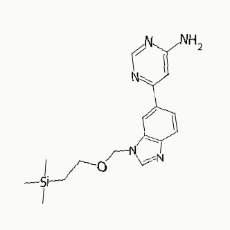 C[Si](C)(C)CCOCn1cnc2ccc(-c3cc(N)ncn3)cc21